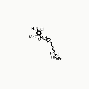 CCCNC(=O)NCCCCCN1CC[C@H](CNC(=O)c2cc(Cl)c(N)cc2OC)C1